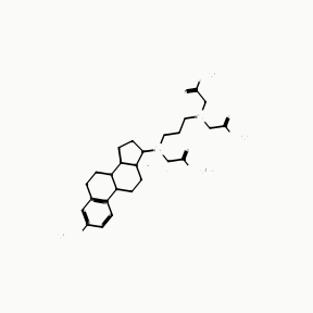 COC(=O)CN(CCCN(CC(=O)OC)C1CCC2C3CCc4cc(OC)ccc4C3CC[C@@]21C)CC(=O)OC